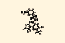 CC1CCN(c2nc(C(C)(C)C)c(I)cc2C(=O)NS(=O)(=O)c2cccc(N)n2)C1(C)C